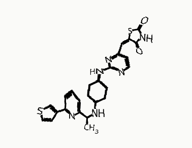 CC(NC1CCC(Nc2nccc(/C=C3/SC(=O)NC3=O)n2)CC1)c1cccc(-c2ccsc2)n1